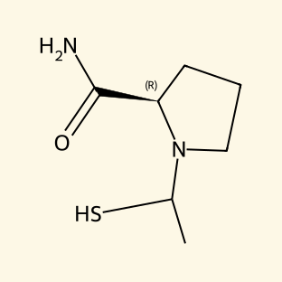 CC(S)N1CCC[C@@H]1C(N)=O